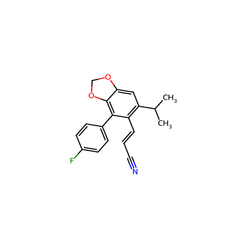 CC(C)c1cc2c(c(-c3ccc(F)cc3)c1/C=C/C#N)OCO2